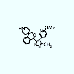 COc1ccc(-n2c(C)nnc2C2OCC3(CCNCC3)c3ccccc32)cn1